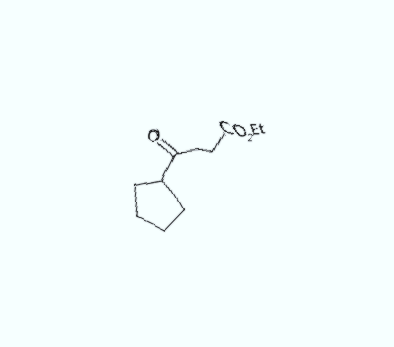 CCOC(=O)CC(=O)C1CCCC1